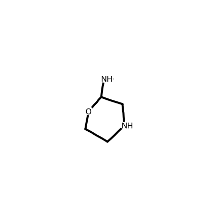 [NH]C1CNCCO1